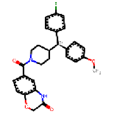 COc1ccc([C@H](c2ccc(F)cc2)C2CCN(C(=O)c3ccc4c(c3)NC(=O)CO4)CC2)cc1